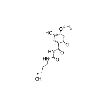 CCCCCNC(=O)NC(=O)c1cc(O)c(OC)cc1Cl